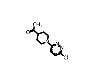 CC(=O)C1CCN(c2ccc(Cl)nn2)CC1